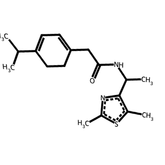 Cc1nc(C(C)NC(=O)CC2=CC=C(C(C)C)CC2)c(C)s1